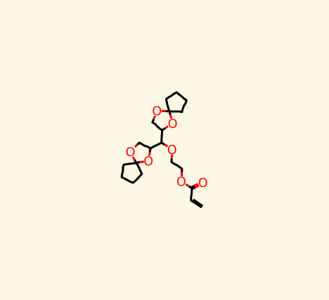 C=CC(=O)OCCOC(C1COC2(CCCC2)O1)C1COC2(CCCC2)O1